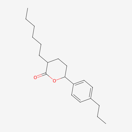 CCCCCCC1CCC(c2ccc(CCC)cc2)OC1=O